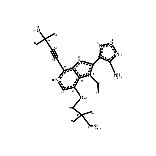 CCn1c(-c2nonc2N)nc2c(C#CC(C)(C)O)ncc(OCC(C)(C)CN)c21